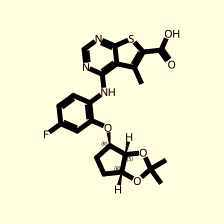 Cc1c(C(=O)O)sc2ncnc(Nc3ccc(F)cc3O[C@@H]3CC[C@H]4OC(C)(C)O[C@@H]34)c12